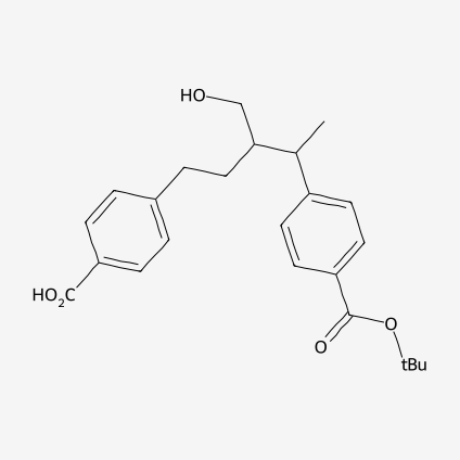 CC(c1ccc(C(=O)OC(C)(C)C)cc1)C(CO)CCc1ccc(C(=O)O)cc1